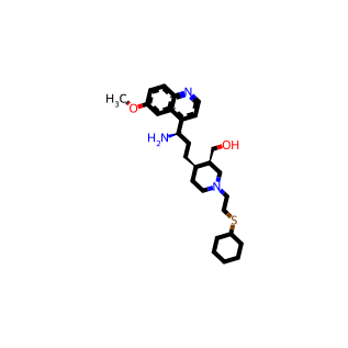 COc1ccc2nccc([C@H](N)CC[C@@H]3CCN(CCSC4CCCCC4)C[C@@H]3CO)c2c1